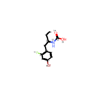 CCC(Cc1ccc(Br)cc1F)NC(=O)O